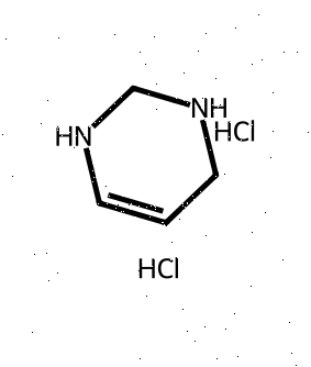 C1=CNCNC1.Cl.Cl